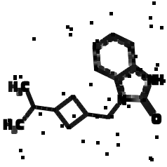 CC(C)C1CC(Cn2c(=O)[nH]c3ccccc32)C1